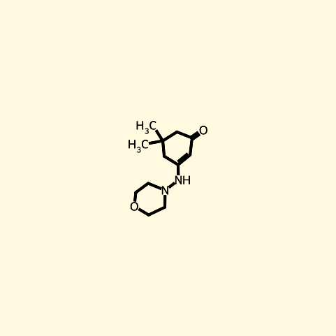 CC1(C)CC(=O)C=C(NN2CCOCC2)C1